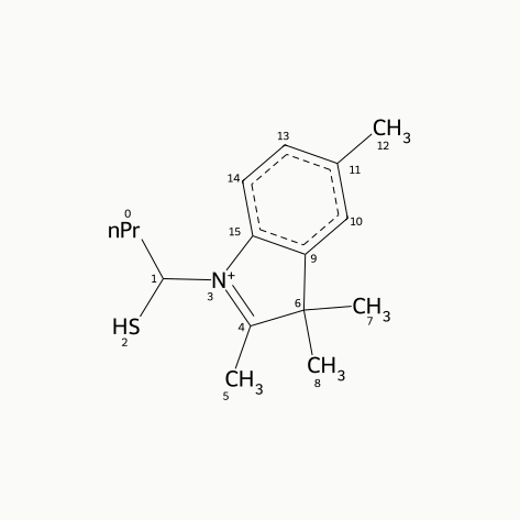 CCCC(S)[N+]1=C(C)C(C)(C)c2cc(C)ccc21